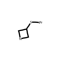 CC(C)SC1C[N]C1